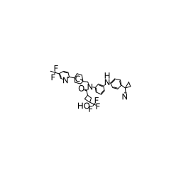 CC(F)(F)c1ccc(C23CCC(CN(C(=O)C4CC(O)(C(F)(F)F)C4)c4cccc(Nc5ccc(C6(C#N)CC6)cc5)c4)(CC2)CC3)nc1